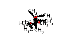 CCCCCCCCC1=C(c2cc(CCCCCCCC)cc(CCCCCCCC)c2)[N+](=[N-])C(c2cc(CCCC)cc(CCCC)c2)=C1CCCC.CCC[CH2][Ni][CH2]CCC